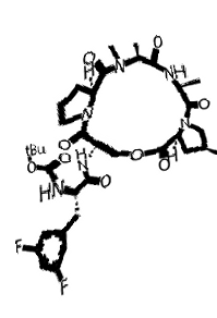 C[C@H]1C[C@H]2C(=O)OC[C@H](NC(=O)[C@H](Cc3cc(F)cc(F)c3)NC(=O)OC(C)(C)C)C(=O)N3CCC[C@H]3C(=O)N(C)[C@@H](C)C(=O)N[C@@H](C)C(=O)N2C1